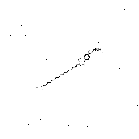 CCCCCCCCCCCCCCCCC=CNC(=O)Cc1ccc(OCCN)cc1